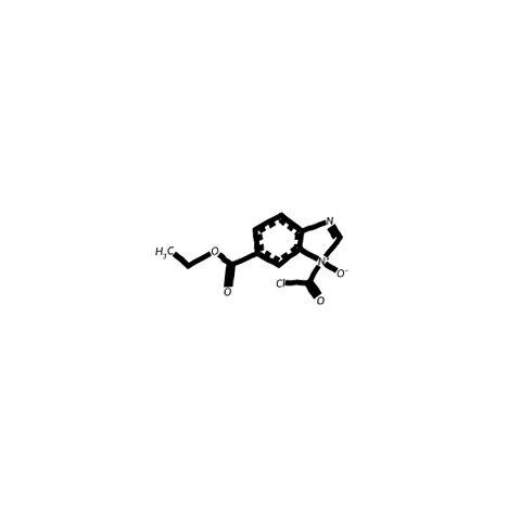 CCOC(=O)c1ccc2c(c1)[N+]([O-])(C(=O)Cl)C=N2